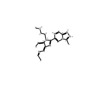 C\C=N/C=c1/nc(-c2cn3c(C)nnc3cn2)n(CCOC)/c1=C/C